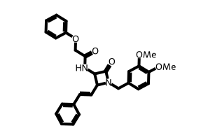 COc1ccc(CN2C(=O)C(NC(=O)COc3ccccc3)C2C=Cc2ccccc2)cc1OC